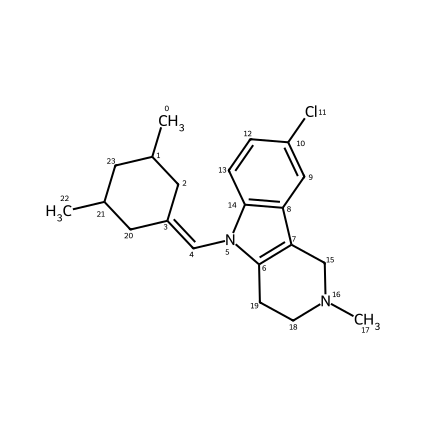 CC1CC(=Cn2c3c(c4cc(Cl)ccc42)CN(C)CC3)CC(C)C1